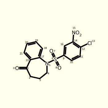 O=C1CCCN(S(=O)(=O)c2ccc(Cl)c([N+](=O)[O-])c2)c2ccccc21